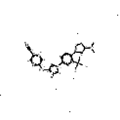 CN(C)C1CCN(c2ccc(-n3cnc(Nc4cnc(C#N)cn4)c3)cc2C(F)(F)F)C1